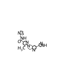 Cc1cc(C(=O)NCc2nccs2)cnc1N1CCc2ncc(-c3cn[nH]c3)cc2C1